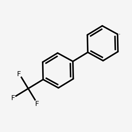 FC(F)(F)c1ccc(-c2cc[c]cc2)cc1